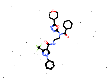 O=C(NCCN(C(=O)C1CCCCC1)c1nnc(C2CCOCC2)o1)c1cn(-c2ccccc2)nc1C(F)(F)F